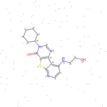 O=c1c2sc3nccc(NCCO)c3c2ncn1C1CCCCC1